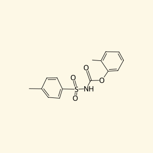 Cc1ccc(S(=O)(=O)NC(=O)Oc2ccccc2C)cc1